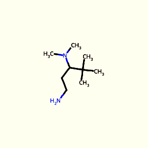 CN(C)C(CCN)C(C)(C)C